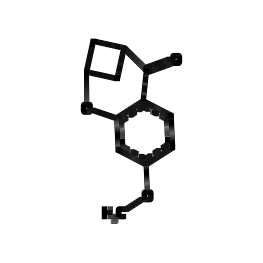 COc1ccc2c(c1)OC1CC(C1)C2=O